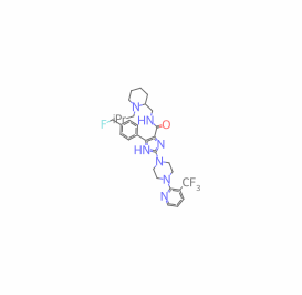 CC(C)CN1CCCCC1CNC(=O)c1nc(N2CCN(c3ncccc3C(F)(F)F)CC2)[nH]c1-c1ccc(CF)cc1